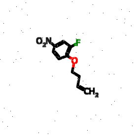 C=CCCOc1ccc([N+](=O)[O-])cc1F